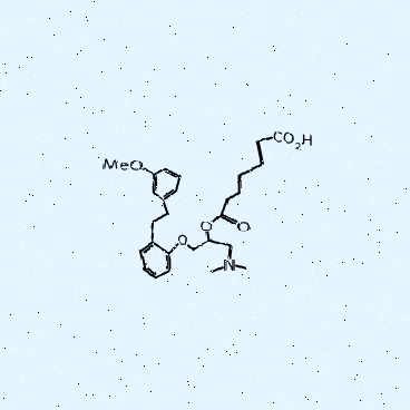 COc1cccc(CCc2ccccc2OC[C@H](CN(C)C)OC(=O)CCCCCC(=O)O)c1